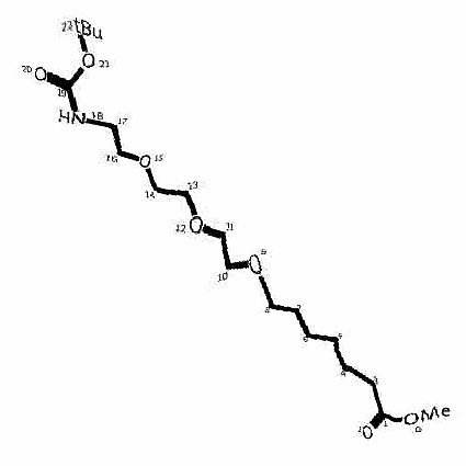 COC(=O)CCCCCCOCCOCCOCCNC(=O)OC(C)(C)C